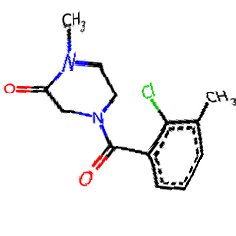 Cc1cccc(C(=O)N2CCN(C)C(=O)C2)c1Cl